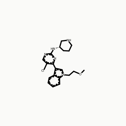 COCCn1cc(-c2nc(N[C@H]3CCCNC3)ncc2Cl)c2ccccc21